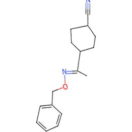 C/C(=N\OCc1ccccc1)C1CCC(C#N)CC1